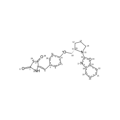 O=C1NC(=Cc2ccc(OC[C@@H]3CCCN3c3nc4ccccc4o3)cc2)C(=O)S1